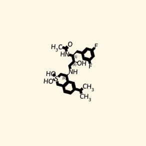 CC(=O)N[C@@H](Cc1cc(F)cc(F)c1)[C@H](O)CN[C@H]1CS(O)(O)Cc2ccc(C(C)C)cc21